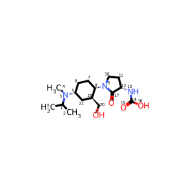 CC(C)N(C)[C@@H]1CC[C@H](N2CC[C@H](NC(=O)O)C2=O)[C@@H](CO)C1